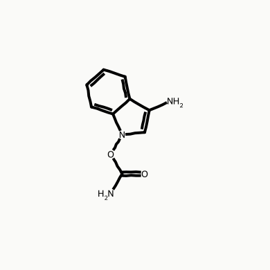 NC(=O)On1cc(N)c2ccccc21